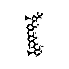 COc1cc(Cc2cc3cnc(-c4c(OC)ncnc4C4CC4)c(F)c3[nH]c2=O)ccc1-c1nc(C(F)(F)F)cn1C1CC1